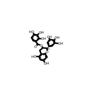 O=C(OC1Cc2c(O)cc(O)cc2O[C@@H]1c1cc(O)c(O)c(O)c1)c1ccc(O)c(O)c1O